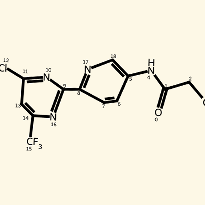 O=C(CCl)Nc1ccc(-c2nc(Cl)cc(C(F)(F)F)n2)nc1